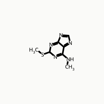 CNC1=N[C](SC)N=C2N=CN=C21